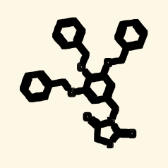 O=C1CSC(=O)N1Cc1cc(OCc2ccccc2)c(OCc2ccccc2)c(OCc2ccccc2)c1